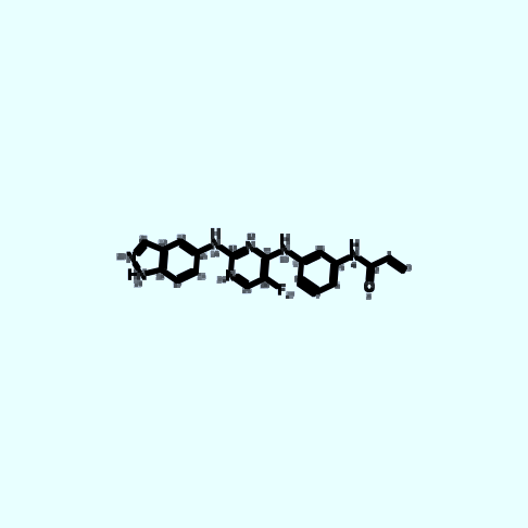 C=CC(=O)Nc1cc#cc(Nc2nc(Nc3ccc4[nH]ncc4c3)ncc2F)c1